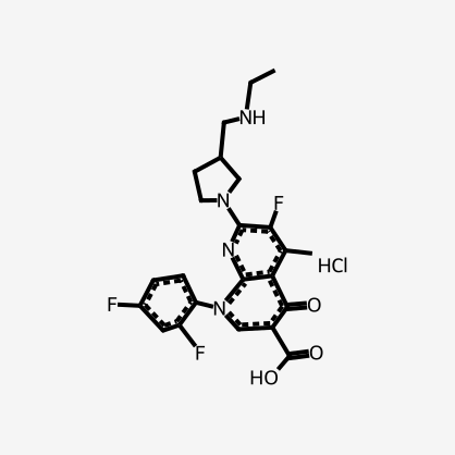 CCNCC1CCN(c2nc3c(c(C)c2F)c(=O)c(C(=O)O)cn3-c2ccc(F)cc2F)C1.Cl